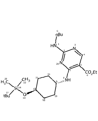 CCCCNc1ncc(C(=O)OCC)c(N[C@H]2CC[C@H](O[Si](C)(C)C(C)(C)C)CC2)n1